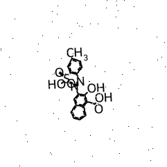 Cc1ccc(N=Nc2cc3ccccc3c(C(=O)O)c2O)c(S(=O)(=O)O)c1